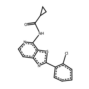 O=C(Nc1nccc2nc(-c3ccccc3Cl)sc12)C1CC1